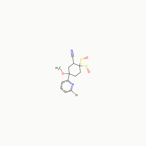 COC1(c2cccc(Br)n2)CCC([S+]=O)([S+]=O)C(C#N)C1